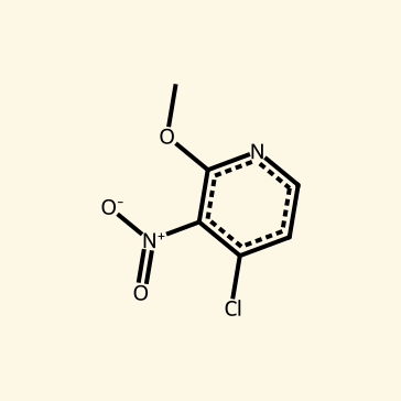 COc1nccc(Cl)c1[N+](=O)[O-]